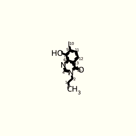 CCCn1cnc2c(O)c(I)ccc2c1=O